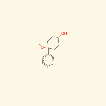 COC1(c2ccc(C)cc2)CCC(O)CC1